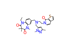 CCN1C(=O)C(C)(C)C(=O)N(C)c2cc(CN(CCn3ccc4ccsc4c3=O)Cc3cc(C)nn3C)ccc21